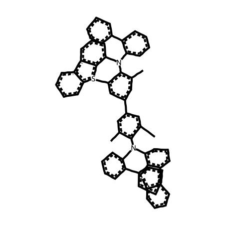 Cc1cc(-c2cc(C)c(N(c3ccccc3-c3ccccc3)c3cccc4c3sc3ccccc34)c(C)c2)cc(C)c1N(c1ccccc1-c1ccccc1)c1cccc2c1sc1ccccc12